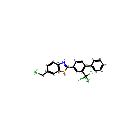 FC(F)(F)c1cc(-c2nc3ccc(CBr)cc3s2)ccc1-c1ccccc1